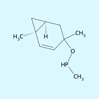 CPOC1(C)C=C[C@@]2(C)C[C@H]2C1